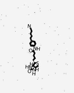 N#CC[CH]CCc1ccc(NC(=O)CCCC[C@@H]2SC[C@@H]3NC(=O)N[C@@H]32)cc1